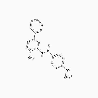 Nc1ccc(-c2ccccc2)nc1NC(=O)c1ccc(NC(=O)O)cc1